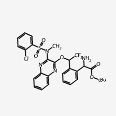 CN(c1nc2ccccc2nc1OC(c1ccccc1C(N)C(=O)OC(C)(C)C)C(F)(F)F)S(=O)(=O)c1ccccc1Cl